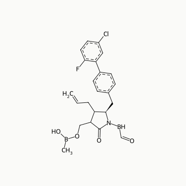 C=CCC1C(COB(C)O)C(=O)N(BC=O)[C@@H]1Cc1ccc(-c2cc(Cl)ccc2F)cc1